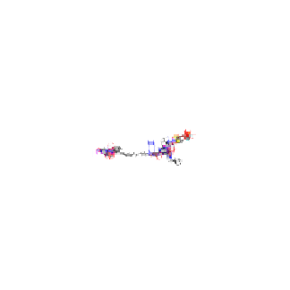 CC(C)(C)[C@H](NC(=O)c1cc2cc(C(F)(F)P(=O)(O)O)ccc2s1)C(=O)N1CCN(C(=O)CC(=O)NCCCCCCCCCC#Cc2ccc3c(c2)C(=O)N(C2CCC(=O)NC2=O)C3=O)C[C@H]1C(=O)N1CCCC(c2ccccc2)C1